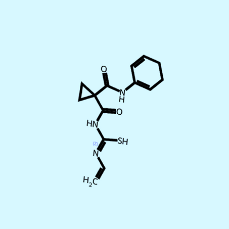 C=C/N=C(\S)NC(=O)C1(C(=O)NC2=CCCC=C2)CC1